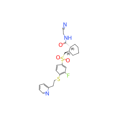 N#CCNC(=O)[C@@H]1CCCC[C@H]1CS(=O)(=O)c1ccc(SCCc2ccccn2)c(F)c1